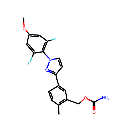 COc1cc(F)c(-n2ccc(-c3ccc(C)c(COC(N)=O)c3)n2)c(F)c1